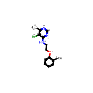 CCC(C)c1ccccc1OCCNc1ncnc(C)c1Br